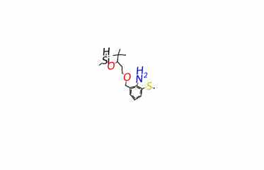 CSc1cccc(COCCC(O[SiH](C)C)C(C)(C)C)c1N